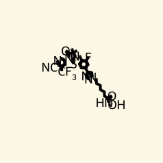 CC1(C)C(=O)N(c2cnc(C#N)c(C(F)(F)F)c2)C(=S)N1Cc1ccc(-c2cn(CCCCCCC(=O)NO)nn2)cc1F